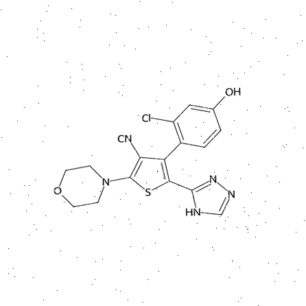 [C-]#[N+]c1c(N2CCOCC2)sc(-c2nnc[nH]2)c1-c1ccc(O)cc1Cl